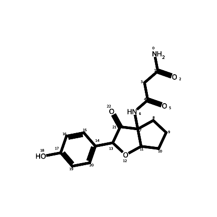 NC(=O)CC(=O)NC12CCCC1OC(c1ccc(O)cc1)C2=O